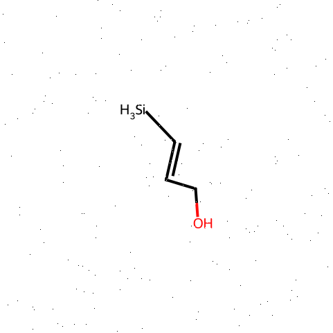 OCC=C[SiH3]